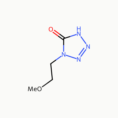 COCCn1nn[nH]c1=O